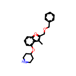 Cc1c(COCc2ccccc2)oc2cccc(OC3CCNCC3)c12